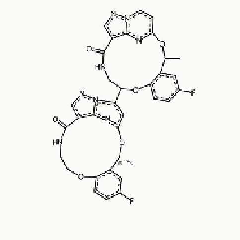 CC1Oc2ccn3ncc(c3n2)C(=O)NCC(c2cc3nc4c(cnn24)C(=O)NCCOc2ccc(F)cc2[C@@H](C)O3)Oc2ccc(F)cc21